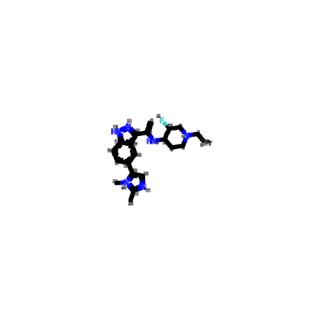 C=C(NC1CCN(CC(C)C)C[C@@H]1F)c1n[nH]c2ccc(-c3cnc(C)n3C)cc12